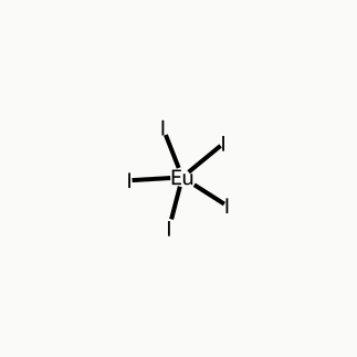 [I][Eu]([I])([I])([I])[I]